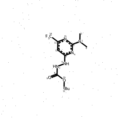 CN(C)c1nc(NNC(=O)OC(C)(C)C)cc(C(F)(F)F)n1